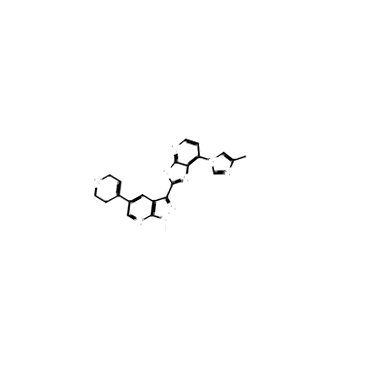 Cc1cn(-c2ccnc3[nH]c(-c4n[nH]c5ncc(C6=CCNCC6)cc45)nc23)cn1